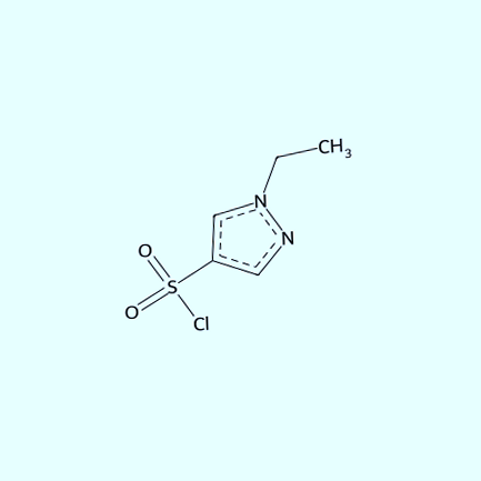 CCn1cc(S(=O)(=O)Cl)cn1